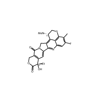 CC[C@@]1(O)C(=O)OCc2c1cc1n(c2=O)Cc2c-1nc1cc(F)c(C)c3c1c2[C@H](NC)CS3